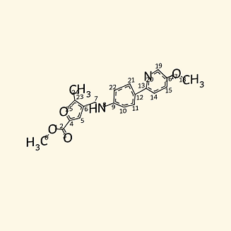 COC(=O)c1cc(CNc2ccc(-c3ccc(OC)cn3)cc2)c(C)o1